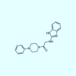 O=C(CNc1nc2ccccc2[nH]1)N1CCN(c2ccccc2)CC1